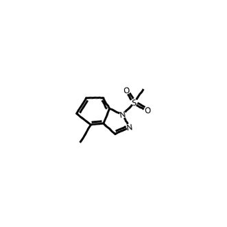 Cc1cccc2c1cnn2S(C)(=O)=O